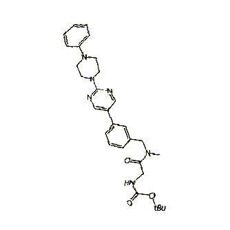 CN(Cc1cccc(-c2cnc(N3CCN(c4ccccc4)CC3)nc2)c1)C(=O)CNC(=O)OC(C)(C)C